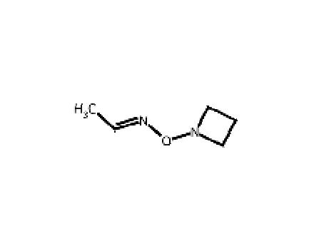 C[C]=NON1CCC1